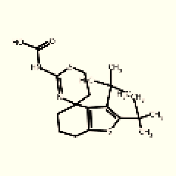 CC(C)(C)c1sc2c(c1C(C)(C)C)C1(CCC2)CCSC(NC(=O)O)=N1